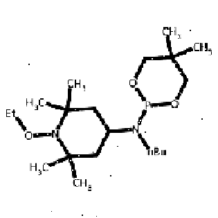 CCCCN(C1CC(C)(C)N(OCC)C(C)(C)C1)P1OCC(C)(C)CO1